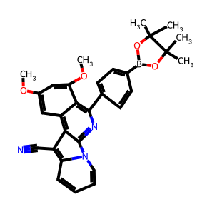 COc1cc(OC)c2c(-c3ccc(B4OC(C)(C)C(C)(C)O4)cc3)nc3c(c(C#N)c4ccccn43)c2c1